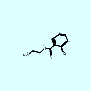 COCCNC(=O)c1cc[c]cc1Cl